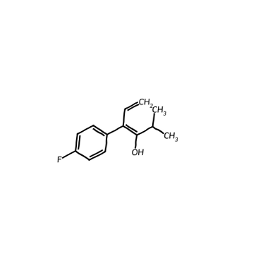 C=C/C(=C(/O)C(C)C)c1ccc(F)cc1